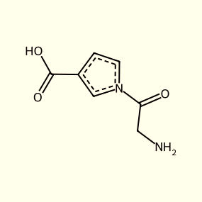 NCC(=O)n1ccc(C(=O)O)c1